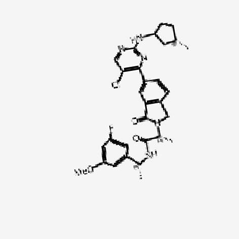 COc1cc(F)cc([C@@H](C)NC(=O)[C@@H](C)N2Cc3ccc(-c4nc(NC5CC[C@H](C)C5)ncc4Cl)cc3C2=O)c1